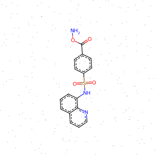 NOC(=O)c1ccc(S(=O)(=O)Nc2cccc3cccnc23)cc1